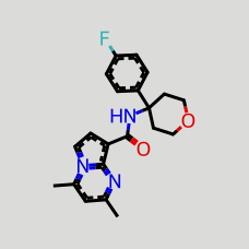 Cc1cc(C)n2ccc(C(=O)NC3(c4ccc(F)cc4)CCOCC3)c2n1